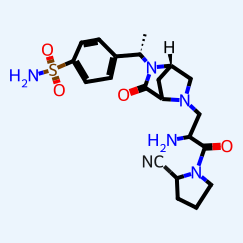 C[C@@H](c1ccc(S(N)(=O)=O)cc1)N1C(=O)C2C[C@H]1CN2CC(N)C(=O)N1CCCC1C#N